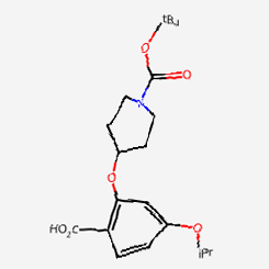 CC(C)Oc1ccc(C(=O)O)c(OC2CCN(C(=O)OC(C)(C)C)CC2)c1